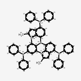 Cc1cc2c(N(c3ccccc3)c3ccccc3)ccc3c2n1-c1cc(N(c2ccccc2)c2ccccc2)cc2c1B3c1ccc(N(c3ccccc3)c3ccccc3)c3cc(C)n-2c13